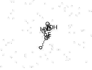 CC1(C)OCC(C)(C(=O)NCC(=O)c2ccc(OCCCCCCc3ccccc3)c(C(F)(F)F)c2)N1C(=O)O